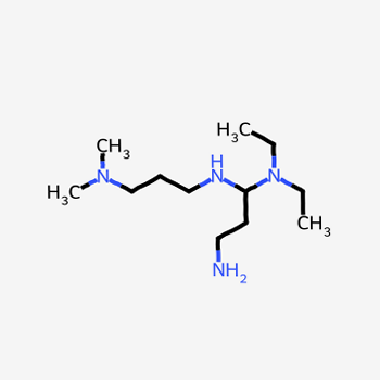 CCN(CC)C(CCN)NCCCN(C)C